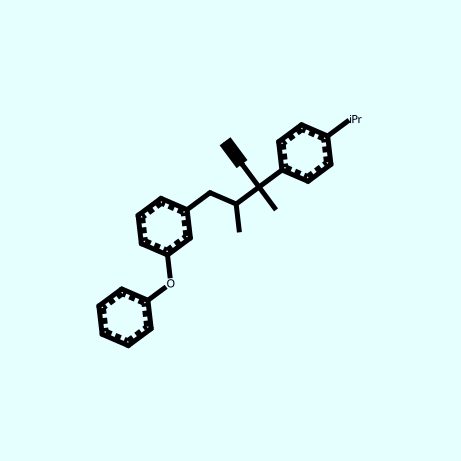 C#CC(C)(c1ccc(C(C)C)cc1)C(C)Cc1cccc(Oc2ccccc2)c1